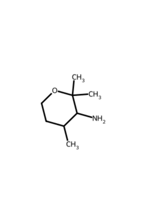 CC1CCOC(C)(C)C1N